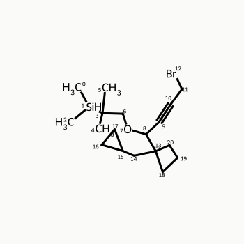 C[SiH](C)C(C)(C)COC(C#CCBr)C1(CC2CC2)CCC1